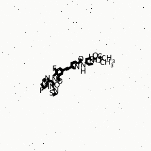 CC(C)(C)OC(=O)N1CCC(NC(=O)c2ccc(C#Cc3cc(F)c4c(c3)C(=O)N(C(C(=O)Nc3nccs3)c3ncn5c3C[C@@H](F)C5)C4)cn2)CC1